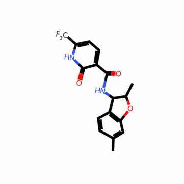 Cc1ccc2c(c1)OC(C)C2NC(=O)c1ccc(C(F)(F)F)[nH]c1=O